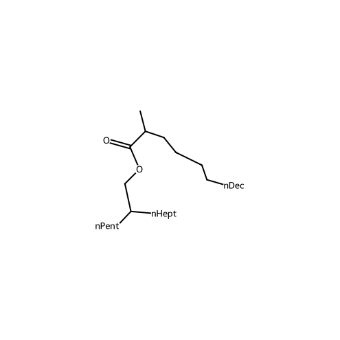 CCCCCCCCCCCCCCC(C)C(=O)OCC(CCCCC)CCCCCCC